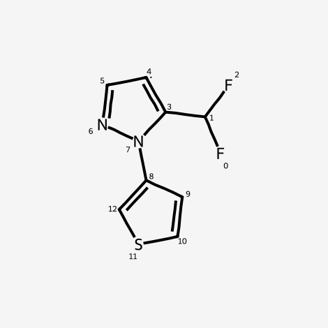 FC(F)c1[c]cnn1-c1ccsc1